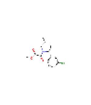 COC(=O)C(=O)N1C[C@@H](C)CC[C@@H]1c1cccc(Cl)c1